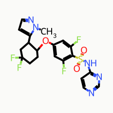 Cn1nccc1C1CC(F)(F)CCC1Oc1cc(F)c(S(=O)(=O)Nc2ccncn2)c(F)c1